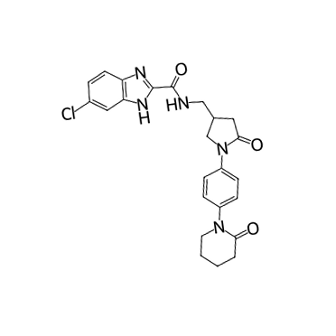 O=C(NCC1CC(=O)N(c2ccc(N3CCCCC3=O)cc2)C1)c1nc2ccc(Cl)cc2[nH]1